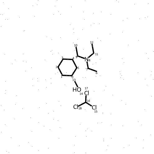 C1CCCCC1.CCN(CC)CC.CO.ClC(Cl)Cl